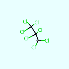 Cl[C](Cl)C(Cl)(Cl)C(Cl)(Cl)Cl